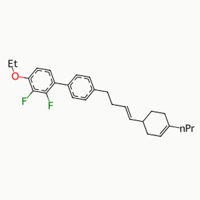 CCCC1=CCC(C=CCCc2ccc(-c3ccc(OCC)c(F)c3F)cc2)CC1